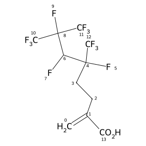 C=C(CCC(F)(C(F)C(F)(C(F)(F)F)C(F)(F)F)C(F)(F)F)C(=O)O